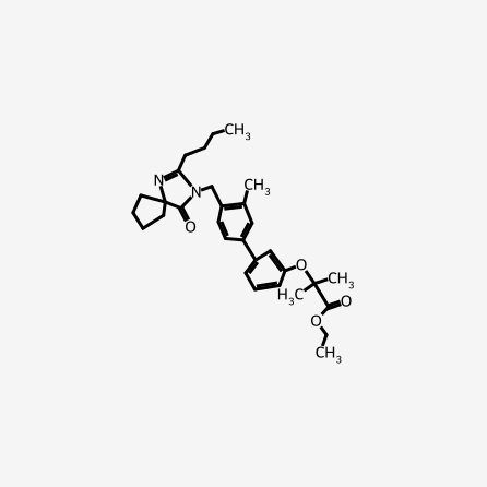 CCCCC1=NC2(CCCC2)C(=O)N1Cc1ccc(-c2cccc(OC(C)(C)C(=O)OCC)c2)cc1C